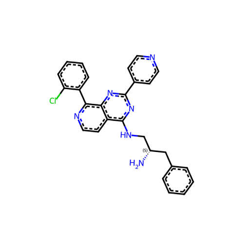 N[C@H](CNc1nc(-c2ccncc2)nc2c(-c3ccccc3Cl)nccc12)Cc1ccccc1